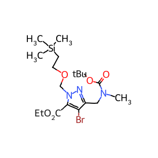 CCOC(=O)c1c(Br)c(CN(C)C(=O)OC(C)(C)C)nn1COCC[Si](C)(C)C